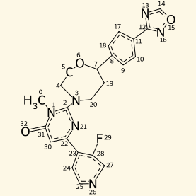 Cn1c(N2CCOC(c3ccc(-c4ncon4)cc3)CC2)nc(-c2ccncc2F)cc1=O